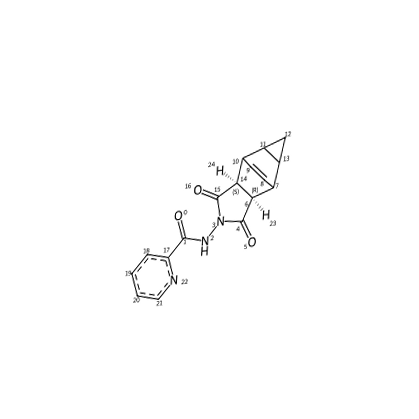 O=C(NN1C(=O)[C@@H]2C3C=CC(C4CC43)[C@@H]2C1=O)c1ccccn1